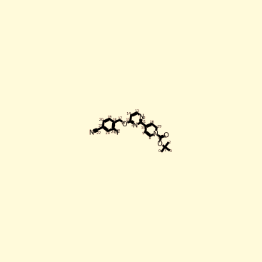 CC(C)(C)OC(=O)N1C=CC(c2nccc(OCc3ccc(C#N)cc3F)n2)=CC1